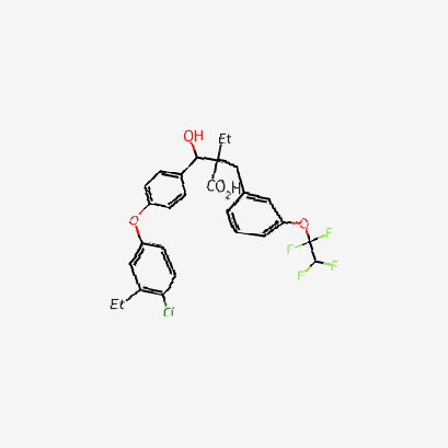 CCc1cc(Oc2ccc(C(O)C(CC)(Cc3cccc(OC(F)(F)C(F)F)c3)C(=O)O)cc2)ccc1Cl